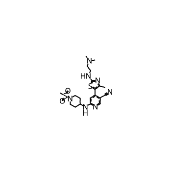 Cc1nc(NCCN(C)C)sc1-c1cc(NC2CCN(S(C)(=O)=O)CC2)ncc1C#N